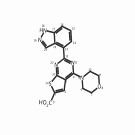 O=C(O)c1cc2c(N3CCOCC3)nc(-c3cccc4[nH]ncc34)nc2s1